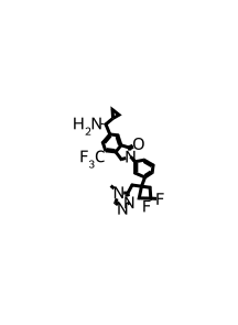 Cn1cnnc1CC1(c2cccc(N3Cc4c(cc([C@H](N)C5CC5)cc4C(F)(F)F)C3=O)c2)CC(F)(F)C1